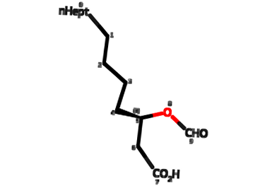 CCCCCCCCCCC[C@H](CC(=O)O)OC=O